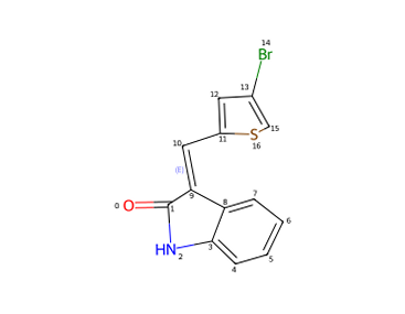 O=C1Nc2ccccc2/C1=C\c1cc(Br)cs1